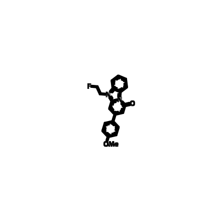 COc1ccc(-c2cc(=O)n3c4ccccc4n(CCF)c3c2)cc1